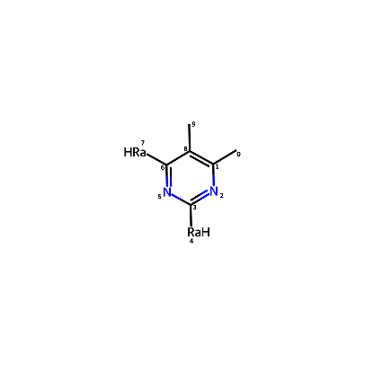 Cc1n[c]([RaH])n[c]([RaH])c1C